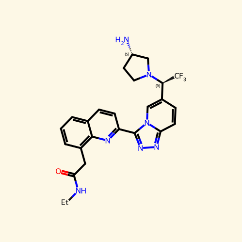 CCNC(=O)Cc1cccc2ccc(-c3nnc4ccc([C@@H](N5CC[C@H](N)C5)C(F)(F)F)cn34)nc12